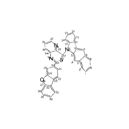 c1ccc2cc3c(cc2c1)c1ccccc1n3-c1nc(-c2ccc3c(c2)oc2ccccc23)nc2cccnc12